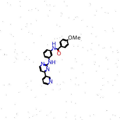 COc1ccc(C(=O)Nc2cccc(Nc3nccc(-c4cccnc4)n3)c2)cc1